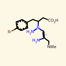 CNC/C(N)=C/N(N)C(CC(=O)O)Cc1ccc(Br)cc1